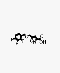 O=C(O)c1cc(COCc2ccc(F)c(F)c2F)on1